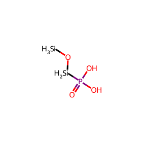 O=P(O)(O)[SiH2]O[SiH3]